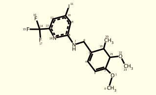 COC1=CC=C(CNc2cc(I)cc(C(F)(F)F)n2)C(C)C1OC